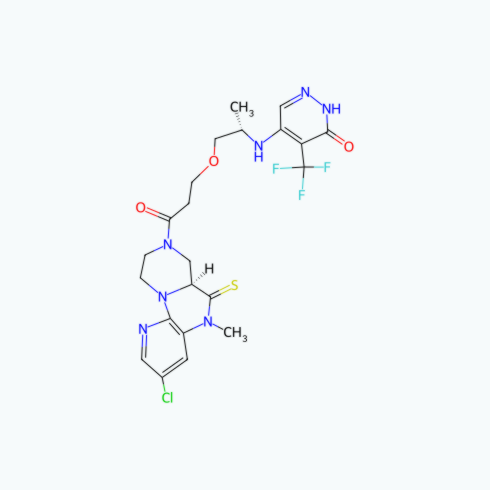 C[C@@H](COCCC(=O)N1CCN2c3ncc(Cl)cc3N(C)C(=S)[C@@H]2C1)Nc1cn[nH]c(=O)c1C(F)(F)F